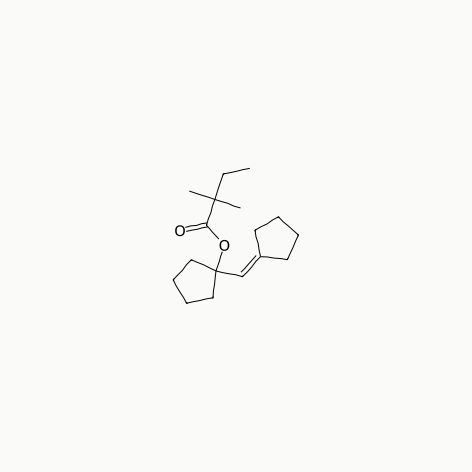 CCC(C)(C)C(=O)OC1(C=C2CCCC2)CCCC1